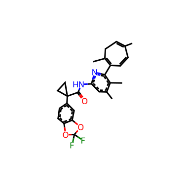 CC1=CCC(C)=C(c2nc(NC(=O)C3(c4ccc5c(c4)OC(F)(F)O5)CC3)cc(C)c2C)C=C1